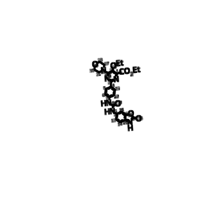 CCOC(=O)c1nc(-c2ccc(NC(=O)Nc3ccc4[nH]c(=O)oc4c3)cc2)nc(N2CCOCC2)c1OCC